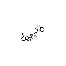 CCC1CCCCN1C(=O)CCC(=O)N[C@@H](C)c1nc2c(F)cccc2[nH]1